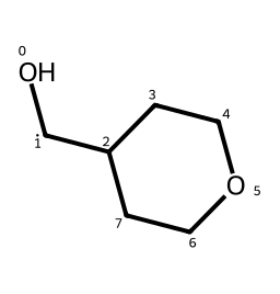 O[CH]C1CCOCC1